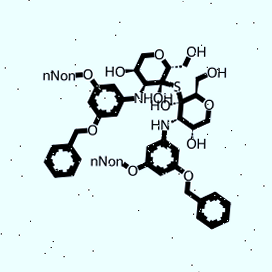 CCCCCCCCCOc1cc(N[C@H]2[C@@H](O)CO[C@H](CO)[C@]2(O)S[C@@]2(O)[C@@H](CO)OC[C@H](O)[C@@H]2Nc2cc(OCCCCCCCCC)cc(OCc3ccccc3)c2)cc(OCc2ccccc2)c1